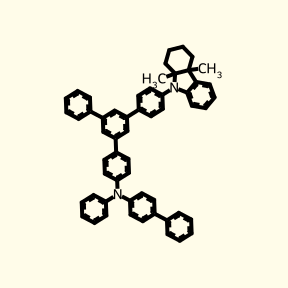 CC12CCCCC1(C)N(c1ccc(-c3cc(-c4ccccc4)cc(-c4ccc(N(c5ccccc5)c5ccc(-c6ccccc6)cc5)cc4)c3)cc1)c1ccccc12